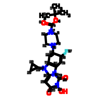 CC(C)(C)OC(=O)N1CCN(c2cc3c(cc2F)n2c(=O)n(O)c(=O)cc2n3C2CC2)CC1